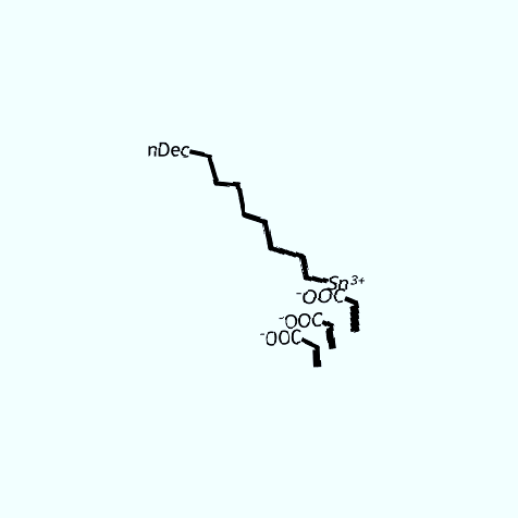 C=CC(=O)[O-].C=CC(=O)[O-].C=CC(=O)[O-].CCCCCCCCCCCCCCCCC[CH2][Sn+3]